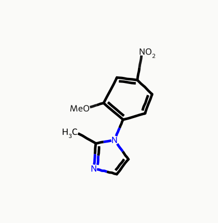 COc1cc([N+](=O)[O-])ccc1-n1ccnc1C